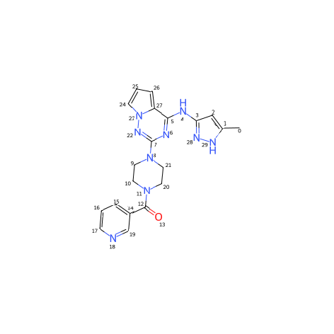 Cc1cc(Nc2nc(N3CCN(C(=O)c4cccnc4)CC3)nn3cccc23)n[nH]1